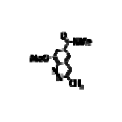 CNC(=O)c1cc(OC)c2nnc(C)cc2c1